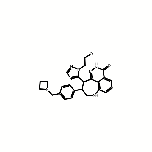 O=c1[nH]nc2c3c(cccc13)NCC(c1ccc(CN3CCC3)cc1)C2c1ncnn1CCO